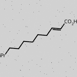 CC(C)CCCCCC/C=C/C(=O)O